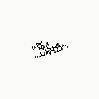 C[C@H](OP(=O)(O)[C@@H]1C[C@@H](CO)O[C@H]1n1cnc2c(=O)[nH]c(N)nc21)[C@@H]1OC(n2cnc3c(N)ncnc32)[C@H](O)[C@@H]1O